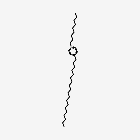 CCCCCCCCCCCCCCCCCCCc1cc[n+](CCCCCCCCC)cc1